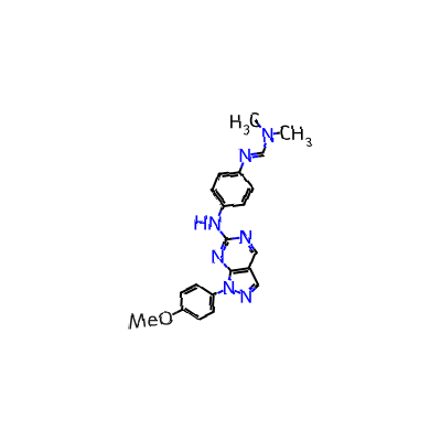 COc1ccc(-n2ncc3cnc(Nc4ccc(N=CN(C)C)cc4)nc32)cc1